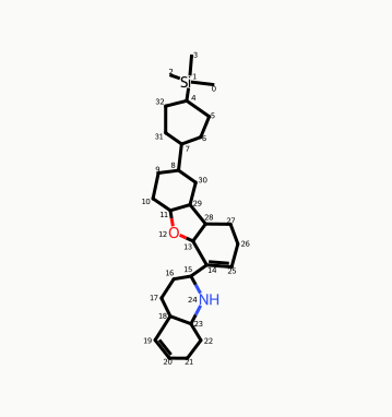 C[Si](C)(C)C1CCC(C2CCC3OC4C(C5CCC6C=CCCC6N5)=CCCC4C3C2)CC1